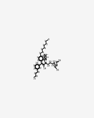 CCCCCCCCc1ccc(C(=C(C)C(=C=[N+]=[N-])CCCC)c2cccc(CCCC)c2)cc1.C[CH2][Ni][CH2]C